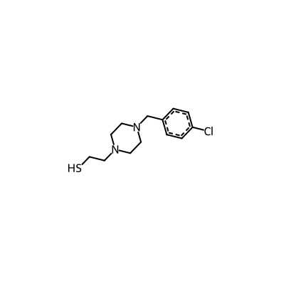 SCCN1CCN(Cc2ccc(Cl)cc2)CC1